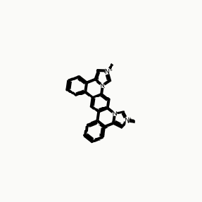 C[n+]1cc2c3ccccc3c3cc4c5ccccc5c5c[n+](C)cn5c4cc3n2c1